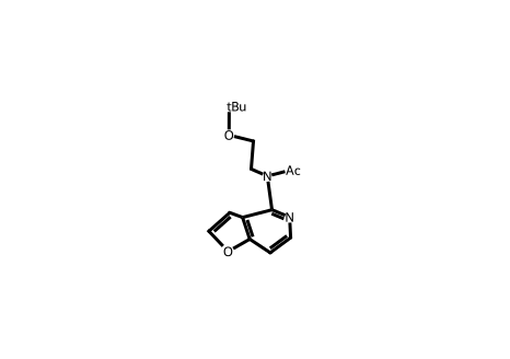 CC(=O)N(CCOC(C)(C)C)c1nccc2occc12